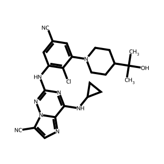 CC(C)(O)C1CCN(c2cc(C#N)cc(Nc3nc(NC4CC4)c4ncc(C#N)n4n3)c2Cl)CC1